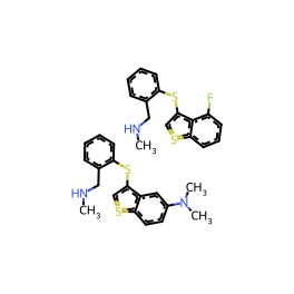 CNCc1ccccc1Sc1csc2ccc(N(C)C)cc12.CNCc1ccccc1Sc1csc2cccc(F)c12